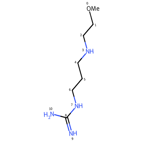 COCCNCCCNC(=N)N